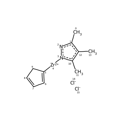 Cc1n[n]([Zr+2][C]2=CC=CC2)c(C)c1C.[Cl-].[Cl-]